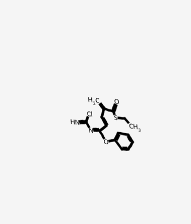 C=C(/C=C/C(=N\C(=N)Cl)Oc1ccccc1)C(=O)SCC